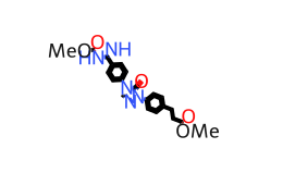 COC(=O)CCc1ccc(-n2ncn(-c3ccc(C(=N)NC(=O)OC)cc3)c2=O)cc1